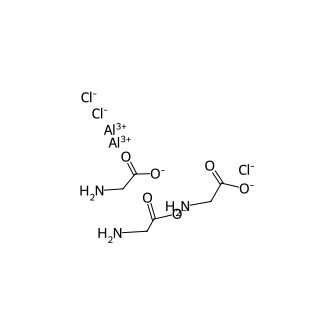 NCC(=O)[O-].NCC(=O)[O-].NCC(=O)[O-].[Al+3].[Al+3].[Cl-].[Cl-].[Cl-]